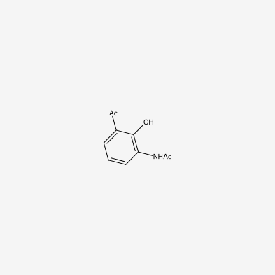 CC(=O)Nc1cccc(C(C)=O)c1O